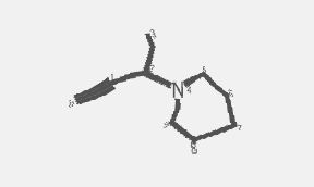 [C]#CC(C)N1CCCCC1